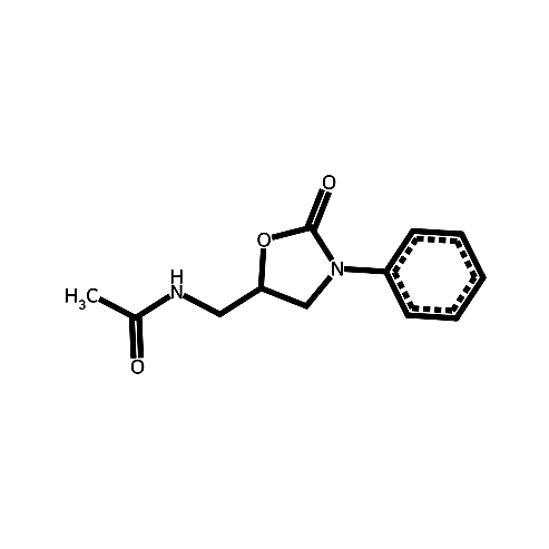 CC(=O)NCC1CN(c2ccccc2)C(=O)O1